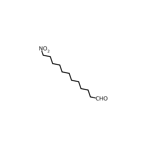 O=CCCCCCCCCCCC[N+](=O)[O-]